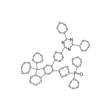 O=P(c1ccccc1)(c1ccccc1)c1ccc(-c2cc3c(cc2-c2ccc(-c4nc(-c5ccccc5)nc(-c5ccccc5)n4)cc2)C(c2ccccc2)(c2ccccc2)c2ccccc2-3)cc1